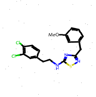 COc1cccc(Cc2nsc(NCCc3ccc(Cl)c(Cl)c3)n2)c1